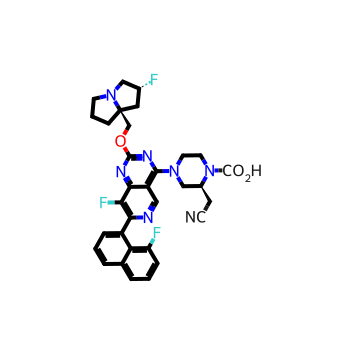 N#CC[C@H]1CN(c2nc(OC[C@@]34CCCN3C[C@H](F)C4)nc3c(F)c(-c4cccc5cccc(F)c45)ncc23)CCN1C(=O)O